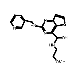 COCCNC(O)c1nc(NCc2cccnc2)nc2ccsc12